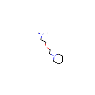 CN(C)CCOCCN1CCCCC1